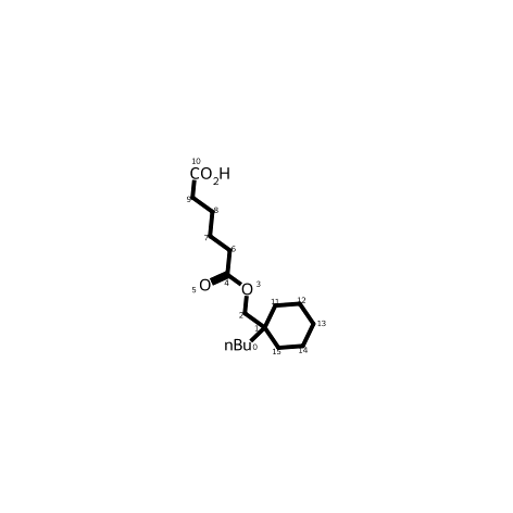 CCCCC1(COC(=O)CCCCC(=O)O)CCCCC1